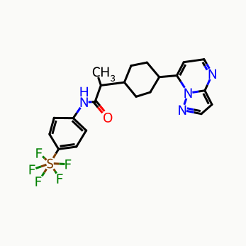 CC(C(=O)Nc1ccc(S(F)(F)(F)(F)F)cc1)C1CCC(c2ccnc3ccnn23)CC1